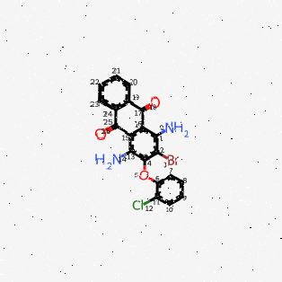 Nc1c(Br)c(Oc2ccccc2Cl)c(N)c2c1C(=O)c1ccccc1C2=O